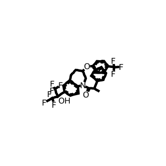 CC(C(=O)N1CC(Oc2ccc(C(F)(F)F)cc2)CCc2cc(C(O)(C(F)(F)F)C(F)(F)F)ccc21)c1ccccc1